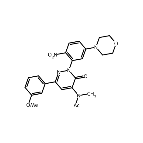 COc1cccc(-c2cc(N(C)C(C)=O)c(=O)n(-c3cc(N4CCOCC4)ccc3[N+](=O)[O-])n2)c1